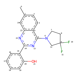 Cc1ccc2c(N3CCC(F)(F)C3)nc(-c3ccccc3O)nc2c1